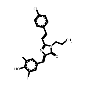 CCCN1C(=O)/C(=C/c2cc(F)c(O)c(I)c2)N=C1/C=C/c1ccc(Cl)cc1